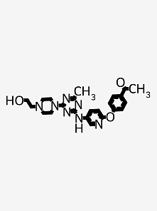 CC(=O)c1ccc(Oc2ccc(Nc3nc(C)nc(N4CCN(CCO)CC4)n3)cn2)cc1